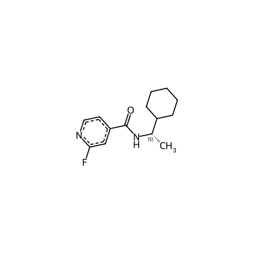 C[C@H](NC(=O)c1ccnc(F)c1)C1CCCCC1